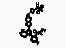 CC(C)N(C)C(=O)c1cc(F)ccc1-n1cc(C2CC3CN(C[C@H]4C[C@H](NS(C)(=O)=O)C4)CC3C2)c2ncccc21